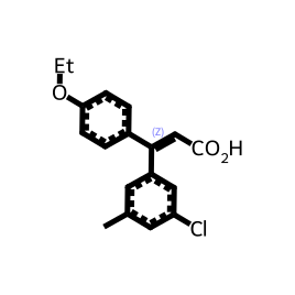 CCOc1ccc(/C(=C/C(=O)O)c2cc(C)cc(Cl)c2)cc1